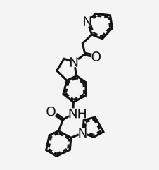 O=C(Nc1ccc2c(c1)CCN2C(=O)Cc1ccccn1)c1ccccc1-n1cccc1